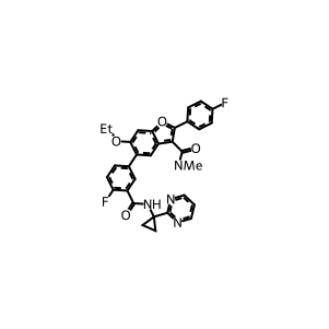 CCOc1cc2oc(-c3ccc(F)cc3)c(C(=O)NC)c2cc1-c1ccc(F)c(C(=O)NC2(c3ncccn3)CC2)c1